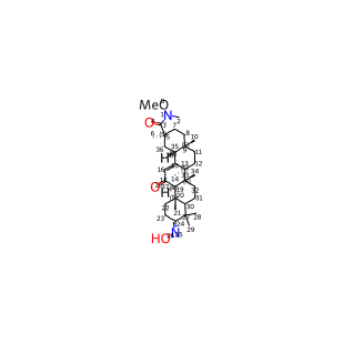 CON(C)C(=O)[C@@]1(C)CC[C@]2(C)CC[C@]3(C)C(=CC(=O)[C@@H]4[C@@]5(C)CCC(=NO)C(C)(C)C5CC[C@]43C)[C@@H]2C1